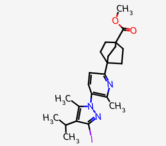 COC(=O)C12CCC(c3ccc(-n4nc(I)c(C(C)C)c4C)c(C)n3)(CC1)CC2